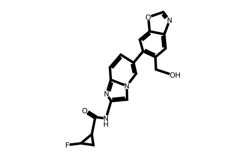 O=C(Nc1cn2cc(-c3cc4ocnc4cc3CO)ccc2n1)C1CC1F